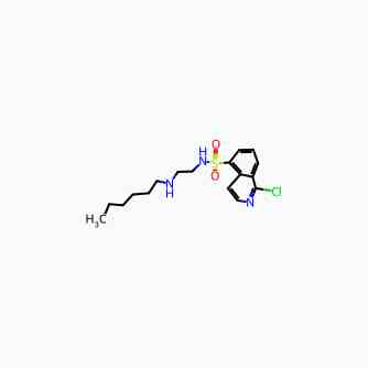 CCCCCCNCCNS(=O)(=O)c1cccc2c(Cl)nccc12